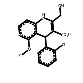 CC(C)Oc1nccc2c1C(c1ccccc1Cl)C(C(=O)O)=C(CO)N2